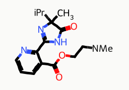 CNCCOC(=O)c1cccnc1C1=NC(C)(C(C)C)C(=O)N1